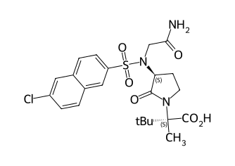 CC(C)(C)[C@@](C)(C(=O)O)N1CC[C@H](N(CC(N)=O)S(=O)(=O)c2ccc3cc(Cl)ccc3c2)C1=O